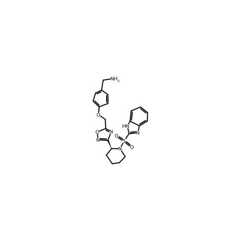 NCc1ccc(OCc2nc([C@@H]3CCCCN3S(=O)(=O)c3nc4ccccc4[nH]3)no2)cc1